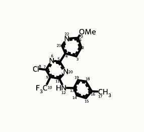 COc1ccc(-c2nc(Cl)c(C(F)(F)F)c(Nc3ccc(C)cc3)n2)cn1